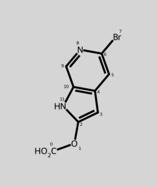 O=C(O)Oc1cc2cc(Br)ncc2[nH]1